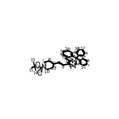 Cc1c(C=CC2CCN(C(=O)OC(C)(C)C)CC2)ncn1C(c1ccccc1)(c1ccccc1)c1ccccc1